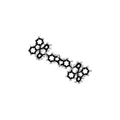 c1ccc2c(c1)-c1ccccc1C21c2ccccc2N(c2ccc3c(c2)oc2c4ccc(N5c6ccccc6C6(c7ccccc7-c7ccccc76)c6ccccc65)cc4sc32)c2ccccc21